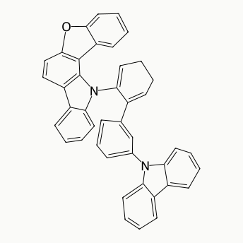 C1=C(c2cccc(-n3c4ccccc4c4ccccc43)c2)C(n2c3ccccc3c3ccc4oc5ccccc5c4c32)=CCC1